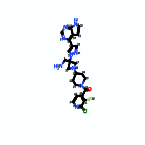 NCC1(n2cc(-c3ncnc4[nH]ccc34)cn2)CN(C2CCN(C(=O)c3ccnc(Cl)c3F)CC2)C1